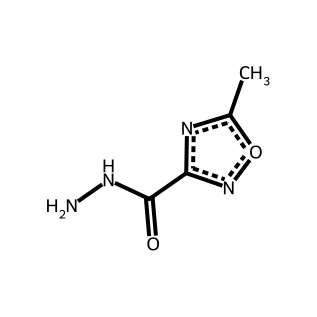 Cc1nc(C(=O)NN)no1